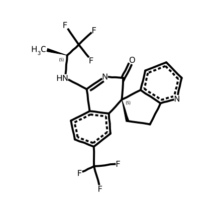 C[C@H](NC1=NC(=O)[C@@]2(CCc3ncccc32)c2cc(C(F)(F)F)ccc21)C(F)(F)F